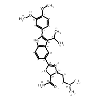 COc1ccc(-c2[nH]c3ccc(C4=NN(CCN(C)C)C(C(N)=O)O4)cc3c2C(C)C)cc1OC